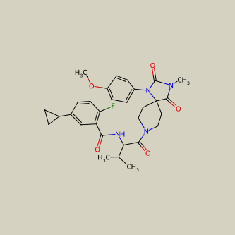 COc1ccc(N2C(=O)N(C)C(=O)C23CCN(C(=O)C(NC(=O)c2cc(C4CC4)ccc2F)C(C)C)CC3)cc1